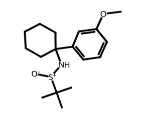 COc1cccc(C2(N[S+]([O-])C(C)(C)C)CCCCC2)c1